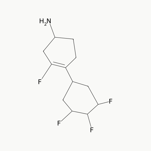 NC1CCC(C2CC(F)C(F)C(F)C2)=C(F)C1